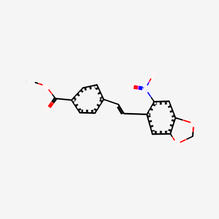 COC(=O)c1ccc(C=Cc2cc3c(cc2[N+](=O)[O-])OCO3)cc1